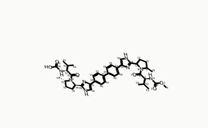 COC(=O)N[C@H](C(=O)N1C(C)CCC1c1nc(-c2ccc(-c3ccc(-c4c[nH]c([C@H]5CC[C@H](C)N5C(=O)[C@H](NC(=O)O)C(C)C)n4)cc3)cc2)c[nH]1)C(C)C